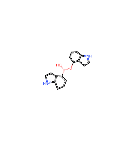 OB(Oc1cccc2[nH]ccc12)c1cccc2[nH]ccc12